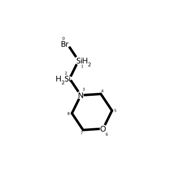 Br[SiH2][SiH2]N1CCOCC1